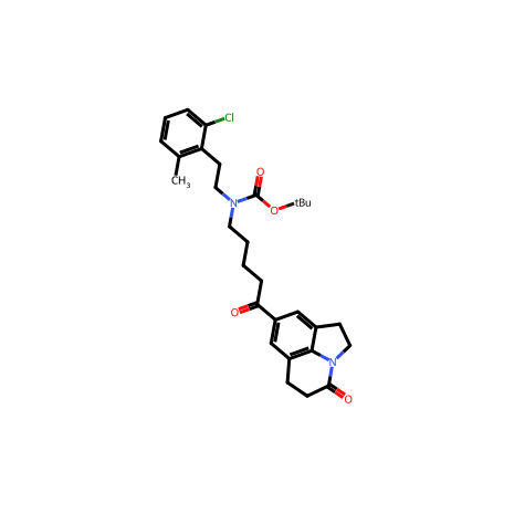 Cc1cccc(Cl)c1CCN(CCCCC(=O)c1cc2c3c(c1)CCN3C(=O)CC2)C(=O)OC(C)(C)C